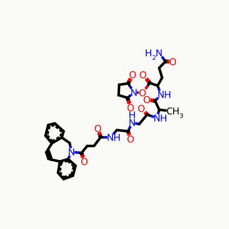 CC(NC(=O)CNC(=O)CNC(=O)CCC(=O)N1Cc2ccccc2C#Cc2ccccc21)C(=O)NC(CCC(N)=O)C(=O)ON1C(=O)CCC1=O